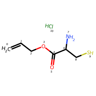 C=CCOC(=O)C(N)CS.Cl